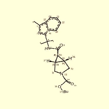 Cc1nc(C(C)(C)NC(=O)[C@H]2[C@@H]3CN(C(=O)OC(C)(C)C)C[C@@H]32)n2ccccc12